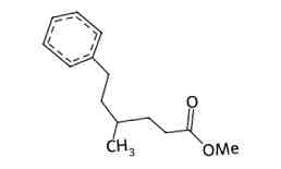 COC(=O)CCC(C)CCc1ccccc1